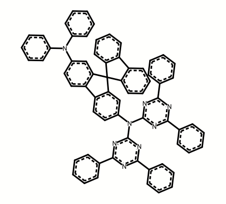 c1ccc(-c2nc(-c3ccccc3)nc(N(c3ccc4c(c3)C3(c5ccccc5-c5ccccc53)c3cc(N(c5ccccc5)c5ccccc5)ccc3-4)c3nc(-c4ccccc4)nc(-c4ccccc4)n3)n2)cc1